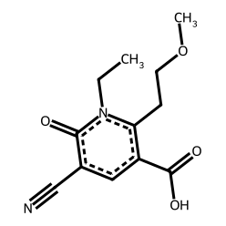 CCn1c(CCOC)c(C(=O)O)cc(C#N)c1=O